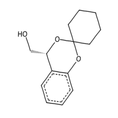 OC[C@@H]1OC2(CCCCC2)Oc2ccccc21